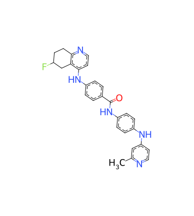 Cc1cc(Nc2ccc(NC(=O)c3ccc(Nc4ccnc5c4CC(F)CC5)cc3)cc2)ccn1